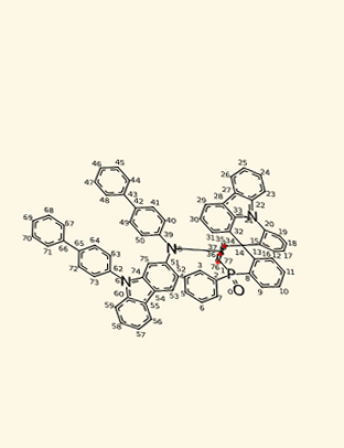 O=P1(c2ccccc2)c2ccccc2C2(c3ccccc3-n3c4ccccc4c4cccc2c43)c2ccc(N(c3ccc(-c4ccccc4)cc3)c3ccc4c5ccccc5n(-c5ccc(-c6ccccc6)cc5)c4c3)cc21